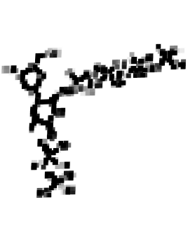 Cc1cn([C@H]2C[C@H](O)[C@@H](CO)O2)c(=O)[nH]c1=O.O=P(O)(O)O.O=P(O)(O)O.O=P(O)(O)O.O=P(O)(O)O.O=P(O)(O)O.O=P(O)(O)O